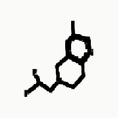 Cc1cnc2c(c1)CN(CC(F)F)CC2